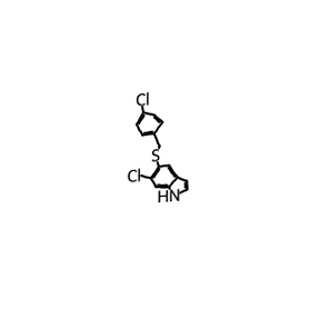 Clc1ccc(CSc2cc3cc[nH]c3cc2Cl)cc1